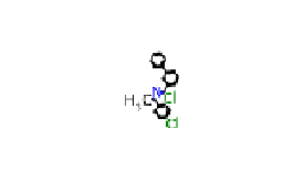 CC(N=Cc1cccc(-c2ccccc2)c1)c1ccc(Cl)cc1Cl